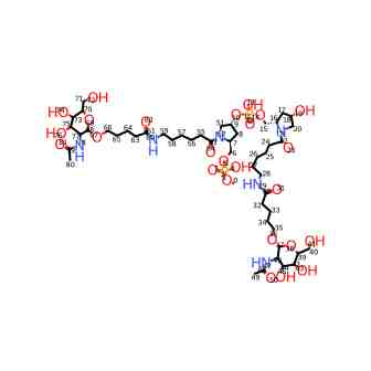 COP(=O)(O)OC[C@@H]1C[C@@H](OP(=O)(O)OC[C@@H]2C[C@@H](O)CN2C(=O)CCCCCNC(=O)CCCCOC2OC(CO)C(O)C(O)C2NC(C)=O)CN1C(=O)CCCCCNC(=O)CCCCOC1OC(CO)C(O)C(O)C1NC(C)=O